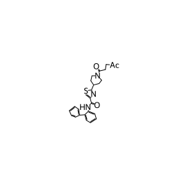 CC(=O)CCC(=O)N1CCC(c2nc(C(=O)Nc3ccccc3-c3ccccc3)cs2)CC1